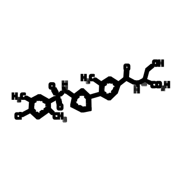 Cc1cc(S(=O)(=O)Nc2cccc(-c3ccc(C(=O)N[C@@H](CO)C(=O)O)cc3C)c2)c(C)cc1Cl